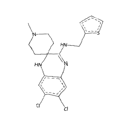 CN1CCC2(CC1)Nc1cc(Cl)c(Cl)cc1N=C2NCc1cccs1